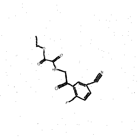 CCOC(=O)C(=O)NCC(=O)c1cc(C#N)ccc1F